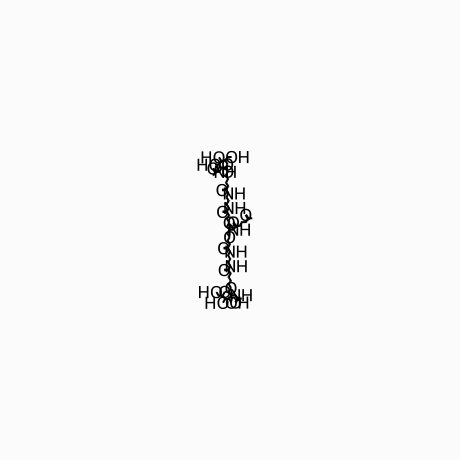 CC(=O)CCCC(=O)NC(COCCC(=O)NCCCNC(=O)CCCCOC1OC(CO)C(O)C(O)C1NC(C)=O)COCCC(=O)NCCCNC(=O)CCCCOC1OC(CO)C(O)C(O)C1NC(C)=O